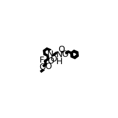 CCOC(=O)C(F)C(=O)C1CCCCN1C(=O)CNC(=O)OCc1ccccc1